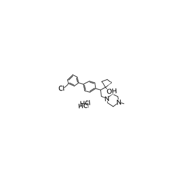 CN1CCN(CC(c2ccc(-c3cccc(Cl)c3)cc2)C2(O)CCC2)CC1.Cl.Cl